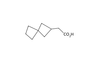 O=C(O)CC1CC2(CCC2)C1